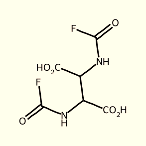 O=C(F)NC(C(=O)O)C(NC(=O)F)C(=O)O